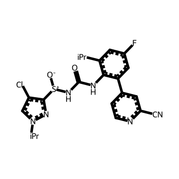 CC(C)c1cc(F)cc(-c2ccnc(C#N)c2)c1NC(=O)N[S+]([O-])c1nn(C(C)C)cc1Cl